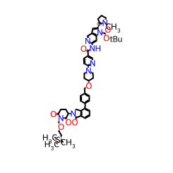 CN1CCC[C@@H]1c1cc2cnc(NC(=O)c3ccc(N4CCC(OCc5ccc(-c6cccc7c6CN(C6CCC(=O)N(COCC[Si](C)(C)C)C6=O)C7=O)cc5)CC4)nc3)cc2n1C(=O)OC(C)(C)C